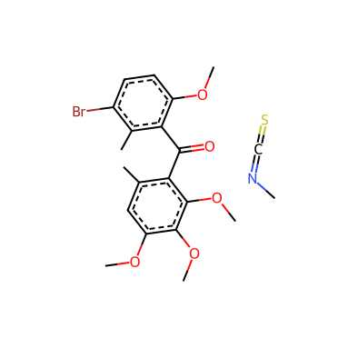 CN=C=S.COc1cc(C)c(C(=O)c2c(OC)ccc(Br)c2C)c(OC)c1OC